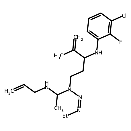 C=CCNC(C)N(CCC(Nc1cccc(Cl)c1F)C(=C)C)/N=N\CC